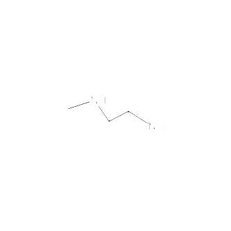 NCCNF